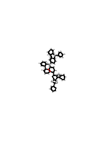 c1ccc(-c2nc3cc(-c4ccc(N(c5ccc6c(c5)c5ccccc5n6-c5ccccc5)c5ccccc5-c5ccccc5)cc4)c4oc5ccccc5c4c3o2)cc1